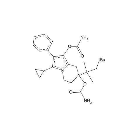 CC(C)(C)CC(C)(C)[N+]1(OC(N)=O)CCn2c(c(OC(N)=O)c(-c3ccccc3)c2C2CC2)C1